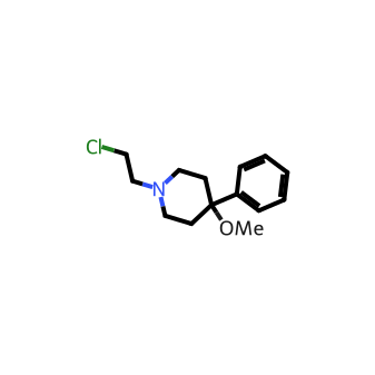 COC1(c2ccccc2)CCN(CCCl)CC1